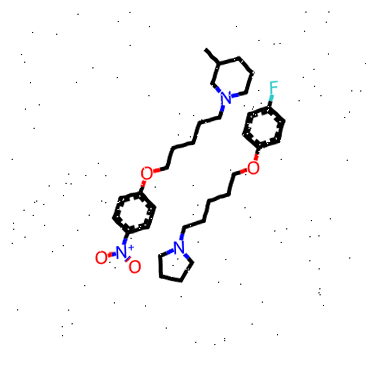 CC1CCCN(CCCCCOc2ccc([N+](=O)[O-])cc2)C1.Fc1ccc(OCCCCCN2CCCC2)cc1